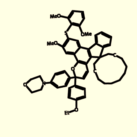 CCOc1ccc(C2(c3ccc(N4CCOCC4)cc3)C=Cc3c4c(c5cc(Sc6c(OC)cccc6OC)c(OC)cc5c3O2)-c2ccccc2C42CCCCCCCCCCC2)cc1